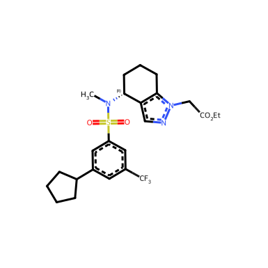 CCOC(=O)Cn1ncc2c1CCC[C@H]2N(C)S(=O)(=O)c1cc(C2CCCC2)cc(C(F)(F)F)c1